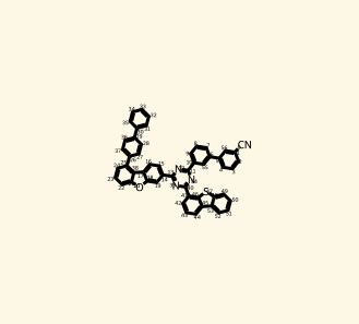 N#Cc1cccc(-c2cccc(-c3nc(-c4ccc5c(c4)oc4cccc(-c6ccc(-c7ccccc7)cc6)c45)nc(-c4cccc5c4sc4ccccc45)n3)c2)c1